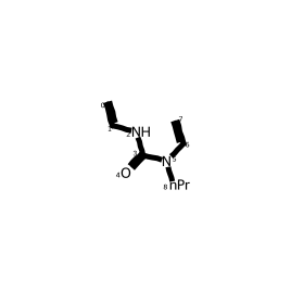 C=CNC(=O)N(C=C)CCC